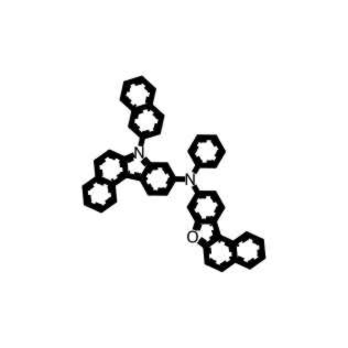 c1ccc(N(c2ccc3c(c2)oc2ccc4ccccc4c23)c2ccc3c4c5ccccc5ccc4n(-c4ccc5ccccc5c4)c3c2)cc1